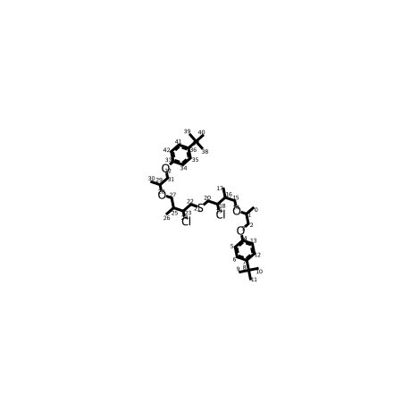 CC(COc1ccc(C(C)(C)C)cc1)OCC(C)C(Cl)CSCC(Cl)C(C)COC(C)COc1ccc(C(C)(C)C)cc1